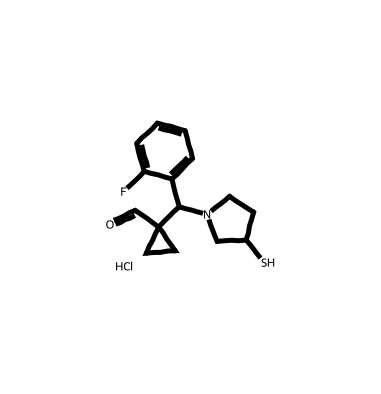 Cl.O=CC1(C(c2ccccc2F)N2CCC(S)C2)CC1